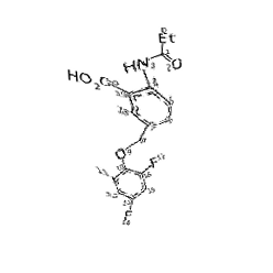 CCC(=O)Nc1ccc(COc2ccc(F)cc2F)cc1C(=O)O